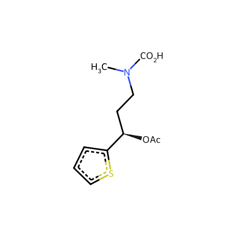 CC(=O)O[C@H](CCN(C)C(=O)O)c1cccs1